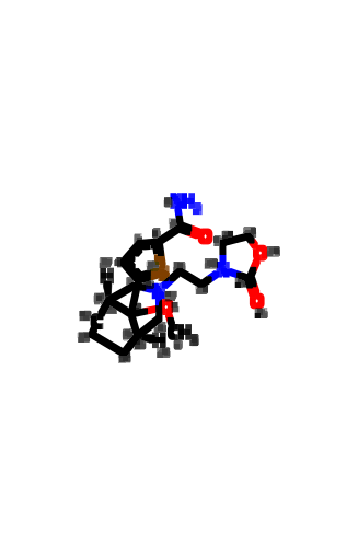 COC1(c2ccc(C(N)=O)s2)[C@@H]2CCC[C@H]1CN(CCN1CCOC1=O)C2